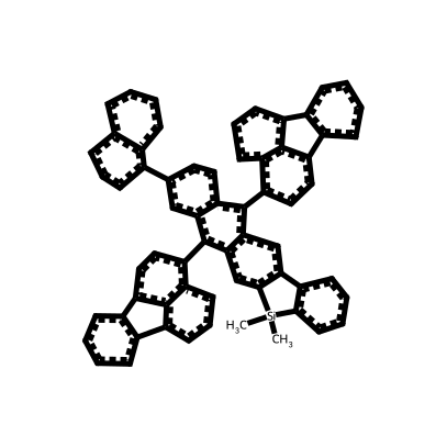 C[Si]1(C)c2ccccc2-c2cc3c(-c4ccc5c6c(cccc46)-c4ccccc4-5)c4ccc(-c5cccc6ccccc56)cc4c(-c4ccc5c6c(cccc46)-c4ccccc4-5)c3cc21